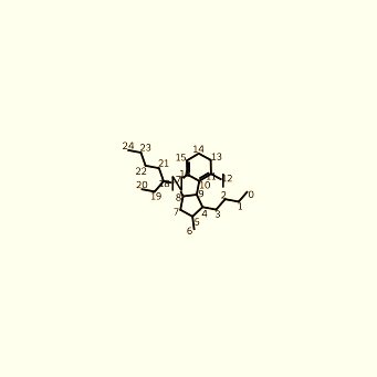 CCCCC1C(C)CC2C1C1=C(I)CCC=C1N2C(CC)CCCC